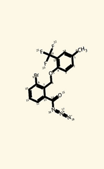 Cc1ccc(OCc2c(Br)cccc2C(=O)N=[N+]=[N-])c(C(F)(F)F)c1